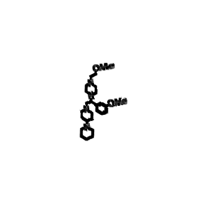 COCCN1CCN(C(CN2CCC(N3CCCCC3)CC2)c2cccc(OC)c2)CC1